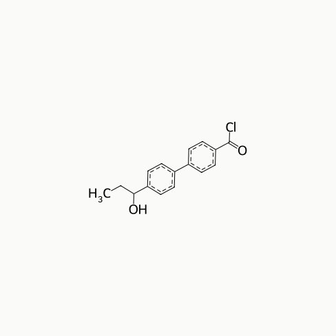 CCC(O)c1ccc(-c2ccc(C(=O)Cl)cc2)cc1